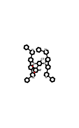 Fc1cccc(F)c1-c1cc(-n2c3cc(-c4ccnc(-c5ccccc5)c4)ccc3c3ccc(-c4ccnc(-c5ccccc5)c4)cc32)c(C(F)(F)F)cc1-n1c2cc(-c3ccnc(-c4ccccc4)c3)ccc2c2ccc(-c3ccnc(-c4ccccc4)c3)cc21